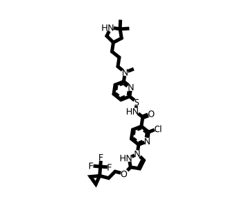 CN(CCCC1CNC(C)(C)C1)c1cccc(SNC(=O)c2ccc(N3C=CC(OCCC4(C(F)(F)F)CC4)N3)nc2Cl)n1